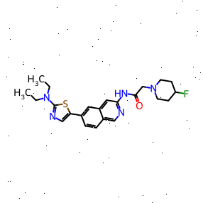 CCN(CC)c1ncc(-c2ccc3cnc(NC(=O)CN4CCC(F)CC4)cc3c2)s1